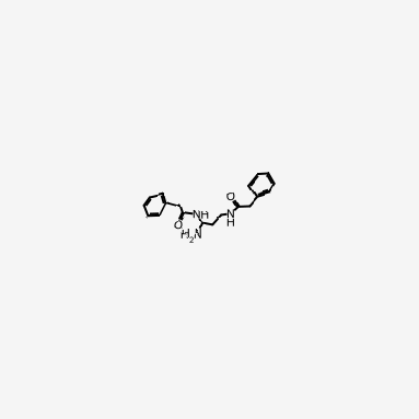 NC(CCNC(=O)Cc1ccccc1)NC(=O)Cc1ccccc1